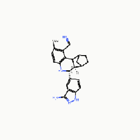 CNc1ccc2c(c1C=N)C1C3CCC(C3)[C@H]1[C@H](c1ccc3[nH]nc(N)c3c1)N2